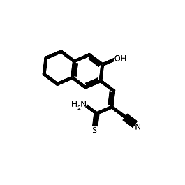 N#C/C(=C/c1cc2c(cc1O)CCCC2)C(N)=S